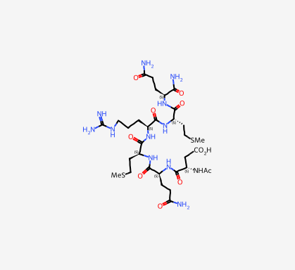 CSCC[C@H](NC(=O)[C@H](CCCNC(=N)N)NC(=O)[C@H](CCSC)NC(=O)[C@H](CCC(N)=O)NC(=O)[C@H](CC(=O)O)NC(C)=O)C(=O)N[C@@H](CCC(N)=O)C(N)=O